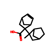 CC1(C2(C(=O)O)CC3C=CC2C3)CC2CCC1C2